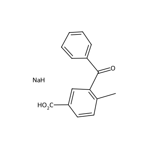 Cc1ccc(C(=O)O)cc1C(=O)c1ccccc1.[NaH]